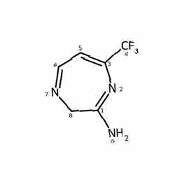 NC1=NC(C(F)(F)F)=CC=NC1